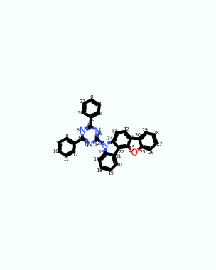 c1ccc(-c2nc(-c3ccccc3)nc(-n3c4ccccc4c4c5oc6ccccc6c5ccc43)n2)cc1